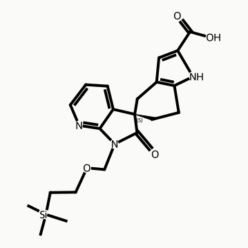 C[Si](C)(C)CCOCN1C(=O)[C@]2(CCc3[nH]c(C(=O)O)cc3C2)c2cccnc21